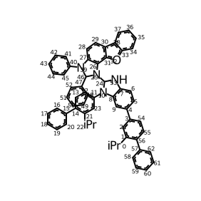 CC(C)c1cc(-c2ccc3c(c2)N(c2ccc(-c4ccccc4)c(C(C)C)c2)C(N2c4c(ccc5c4oc4ccccc45)N(c4ccccc4)C2c2ccccc2)N3)ccc1-c1ccccc1